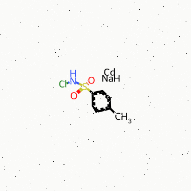 Cc1ccc(S(=O)(=O)NCl)cc1.[Cd].[NaH]